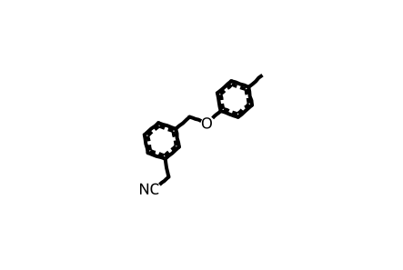 Cc1ccc(OCc2cccc(CC#N)c2)cc1